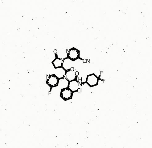 N#Cc1ccnc(N2C(=O)CCC2C(=O)N(c2cncc(F)c2)C(C(=O)NC2CCC(F)(F)CC2)c2ccccc2Cl)c1